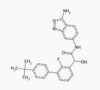 CC(C)(C)c1ccc(-c2cccc(C(O)C(=O)Nc3ccc4c(N)onc4c3)c2F)cc1